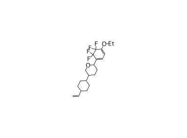 C=CC1CCC(C2CCC(C3=CC=C(OCC)C(F)(F)C3(F)F)OC2)CC1